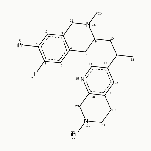 CC(C)c1cc2c(cc1F)CC(CC(C)c1cnc3c(c1)CCN(C(C)C)C3)N(C)C2